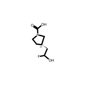 O=C(O)N1CC[C@@H](CC(O)F)C1